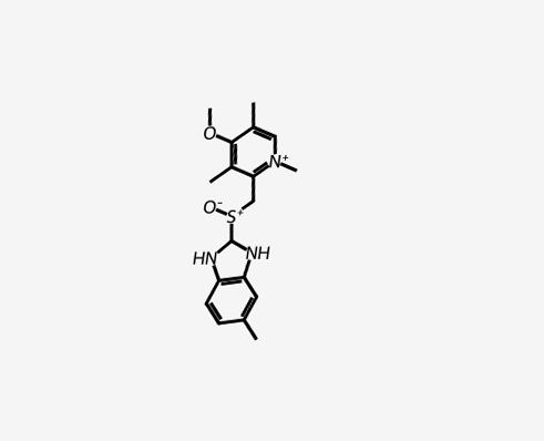 COc1c(C)c[n+](C)c(C[S+]([O-])C2Nc3ccc(C)cc3N2)c1C